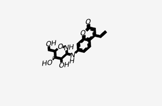 C=Cc1cc(=O)oc2cc(NC3NOC(CO)[C@H](O)C3O)ccc12